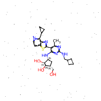 Cc1nc(NCC2CCC2)nc(N[C@@H]2C[C@H](CO)[C@@H](O)[C@H]2O)c1-c1nc2c(C3CC3)nccc2s1